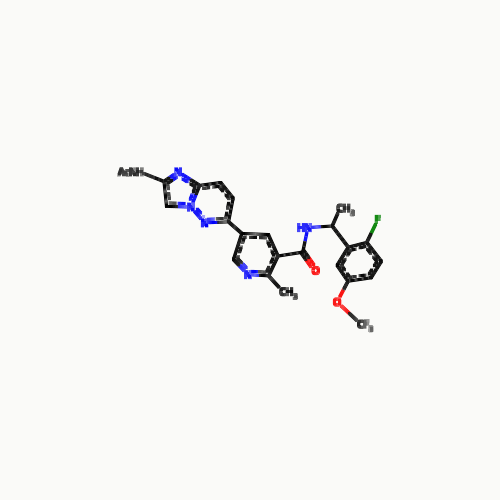 CC(=O)Nc1cn2nc(-c3cnc(C)c(C(=O)NC(C)c4cc(OC(F)(F)F)ccc4F)c3)ccc2n1